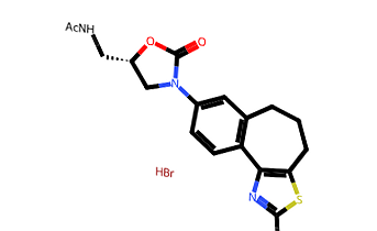 Br.CNc1nc2c(s1)CCCc1cc(N3C[C@H](CNC(C)=O)OC3=O)ccc1-2